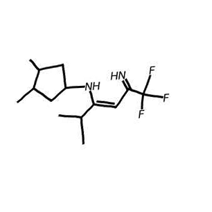 CC(C)/C(=C/C(=N)C(F)(F)F)NC1CC(C)C(C)C1